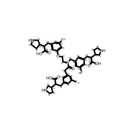 O=C(O)C(Cc1cc(F)cc(CC(=O)N(CCOc2cc(F)cc(CC(C(=O)O)C3CCNC3)c2)Cc2cc(F)cc(CC(C(=O)O)C3CCNC3)c2)c1)C1CCNC1